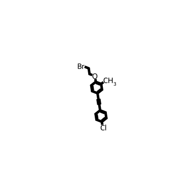 Cc1cc(C#Cc2ccc(Cl)cc2)ccc1OCCBr